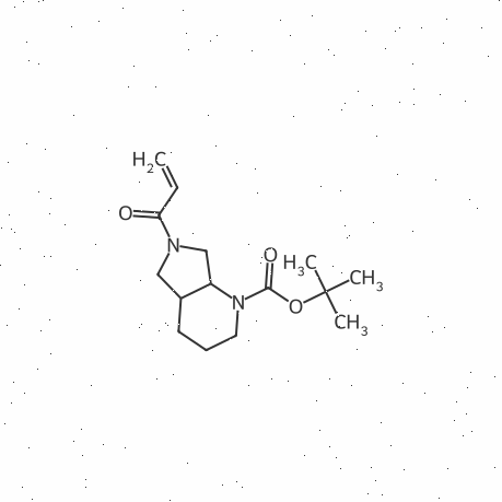 C=CC(=O)N1CC2CCCN(C(=O)OC(C)(C)C)C2C1